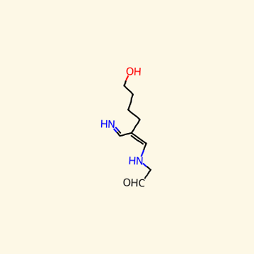 N=C/C(=C\NCC=O)CCCCO